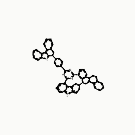 c1ccc(-c2nc(-c3ccc(-c4cc5ccccc5c5c4oc4ccccc45)cc3)nc(-c3cccc4sc5ccc(-c6ccc7ccc8ccccc8c7c6)cc5c34)n2)cc1